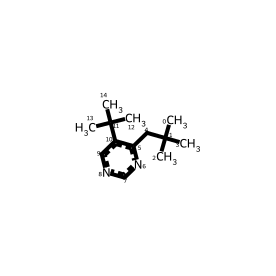 CC(C)(C)Cc1ncncc1C(C)(C)C